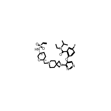 C=CS(=O)(=O)N[C@@H]1CC[C@@H](CN2CCC3(CC2)CN(c2ncncc2Oc2ccc(F)cc2C(=O)N(CC)C(C)C)C3)OC1